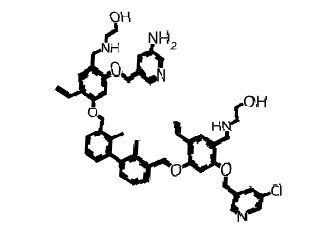 C=Cc1cc(CNCCO)c(OCc2cncc(N)c2)cc1OCc1cccc(-c2cccc(COc3cc(OCc4cncc(Cl)c4)c(CNCCO)cc3C=C)c2C)c1C